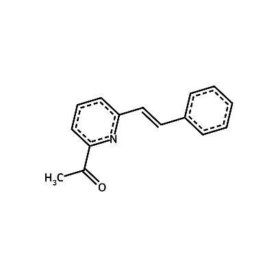 CC(=O)c1cccc(C=Cc2ccccc2)n1